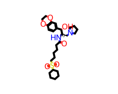 O=C(CCCCCS(=O)(=O)C1CCCCC1)N[C@H](CN1CCCC1)C(O)c1ccc2c(c1)OCCO2